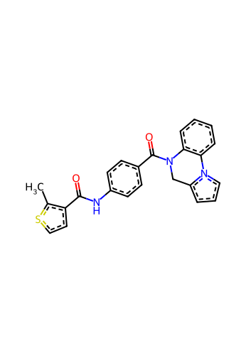 Cc1sccc1C(=O)Nc1ccc(C(=O)N2Cc3cccn3-c3ccccc32)cc1